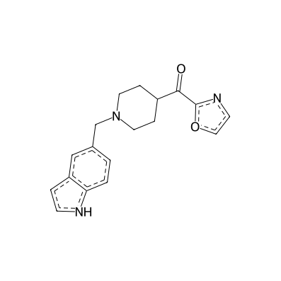 O=C(c1ncco1)C1CCN(Cc2ccc3[nH]ccc3c2)CC1